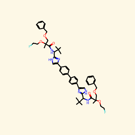 CC(COCc1ccccc1)(OCCF)C(=O)NC(c1nc(-c2ccc(-c3ccc(-c4c[nH]c(C(NC(=O)C(C)(COCc5ccccc5)OCCF)C(C)(C)C)n4)cc3)cc2)c[nH]1)C(C)(C)C